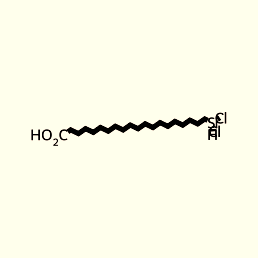 O=C(O)CCCCCCCCCCCCCCCCCCC[SiH](Cl)Cl